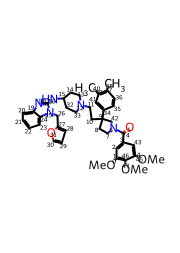 COc1cc(C(=O)N2CCC(CCN3CCC(Nc4nc5ccccc5n4Cc4ccco4)CC3)(c3ccc(C)c(C)c3)C2)cc(OC)c1OC